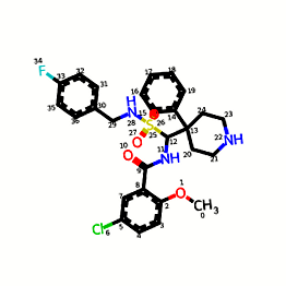 COc1ccc(Cl)cc1C(=O)NC(C1(c2ccccc2)CCNCC1)S(=O)(=O)NCc1ccc(F)cc1